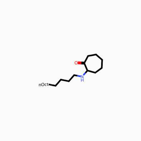 CCCCCCCCCCCCNC1CCCCCC1=O